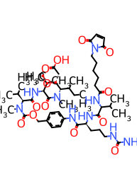 CC[C@H](C)[C@@H]([C@@H](CC(=O)O)OC)N(C)C(=O)[C@@H](NC(=O)[C@H](C(C)C)N(C)C(=O)OCc1ccc(NC(=O)[C@H](CCCNC(N)=O)NC(=O)[C@@H](NC(=O)CCCCCN2C(=O)C=CC2=O)C(C)C)cc1)C(C)C